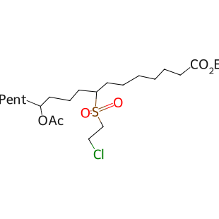 CCCCCC(CCCC(CCCCCCC(=O)OCC)S(=O)(=O)CCCl)OC(C)=O